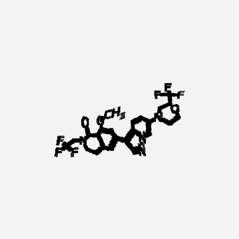 COc1cc(-c2cnn3cc(N4CCOC(C(F)(F)F)C4)ccc23)cc2c1C(=O)N(CC(F)(F)F)CC2